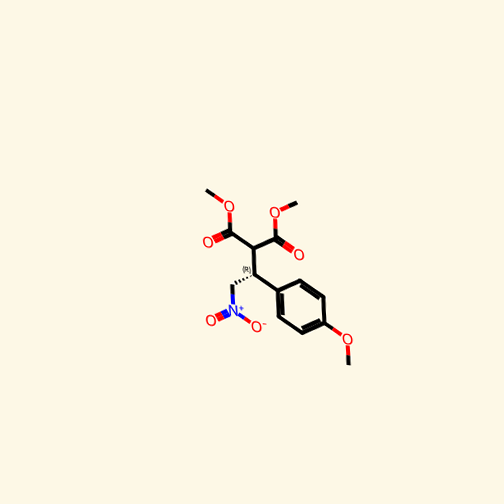 COC(=O)C(C(=O)OC)[C@@H](C[N+](=O)[O-])c1ccc(OC)cc1